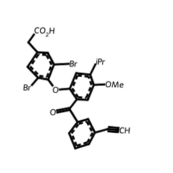 C#Cc1cccc(C(=O)c2cc(OC)c(C(C)C)cc2Oc2c(Br)cc(CC(=O)O)cc2Br)c1